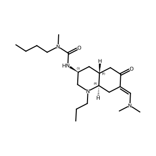 CCCCN(C)C(=O)N[C@H]1C[C@@H]2CC(=O)C(=CN(C)C)C[C@H]2N(CCC)C1